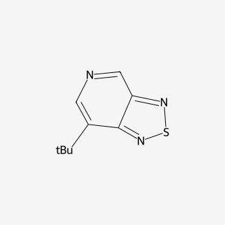 CC(C)(C)c1cncc2nsnc12